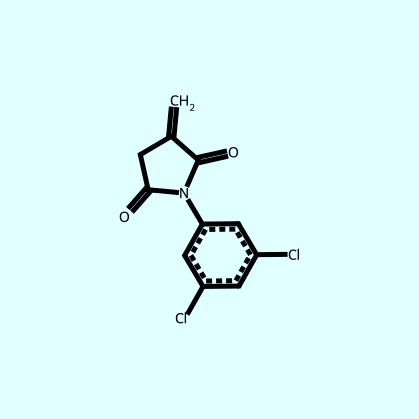 C=C1CC(=O)N(c2cc(Cl)cc(Cl)c2)C1=O